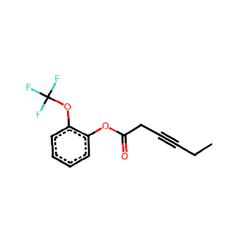 CCC#CCC(=O)Oc1ccccc1OC(F)(F)F